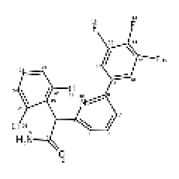 NC(=O)C(c1cccc(-c2cc(F)c(F)c(F)c2)n1)c1c(Cl)cccc1Cl